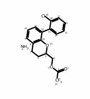 N.O=C(OCC1CCc2cccc(-c3ccccc3Cl)c2O1)C(F)(F)F